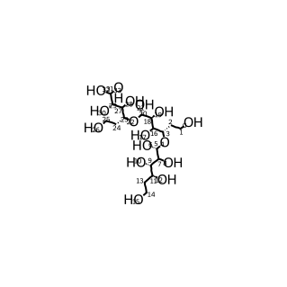 OCC[C@H](O[C@@H](O)C(O)[C@@H](O)[C@@H](O)CCO)C(O)[C@H](O)[C@@H](O)O[C@H](CCO)C(O)[C@H](O)C(O)O